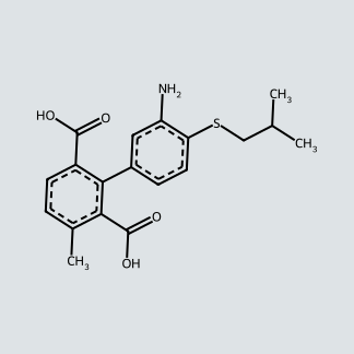 Cc1ccc(C(=O)O)c(-c2ccc(SCC(C)C)c(N)c2)c1C(=O)O